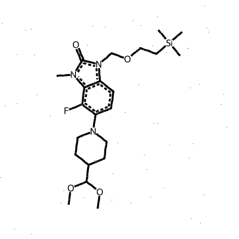 COC(OC)C1CCN(c2ccc3c(c2F)n(C)c(=O)n3COCC[Si](C)(C)C)CC1